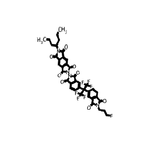 CCCC(CCC)n1c(=O)c2cc3c(=O)n(N4C(=O)c5ccc(C(c6ccc7c(c6)C(=O)N(CCCF)C7=O)(C(F)(F)F)C(F)(F)F)cc5C4=O)c(=O)c3cc2c1=O